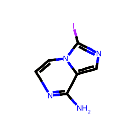 Nc1nccn2c(I)ncc12